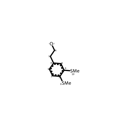 CSc1ccc(CC[O])cc1SC